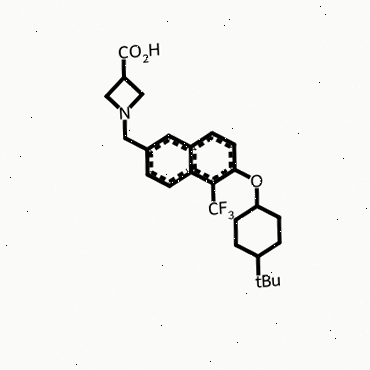 CC(C)(C)C1CCC(Oc2ccc3cc(CN4CC(C(=O)O)C4)ccc3c2C(F)(F)F)CC1